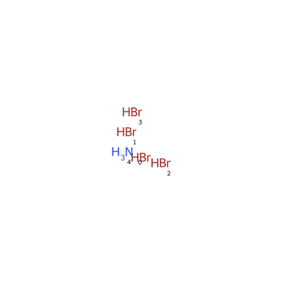 Br.Br.Br.Br.N